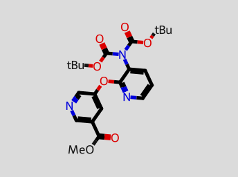 COC(=O)c1cncc(Oc2ncccc2N(C(=O)OC(C)(C)C)C(=O)OC(C)(C)C)c1